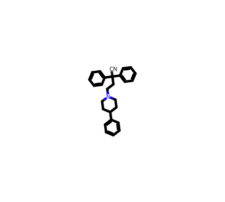 N#CC(CCN1CCC(c2ccccc2)CC1)(c1ccccc1)c1ccccc1